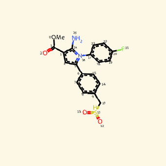 COC(=O)c1cc(-c2ccc(C[SH](=O)=O)cc2)n(-c2ccc(F)cc2)c1N